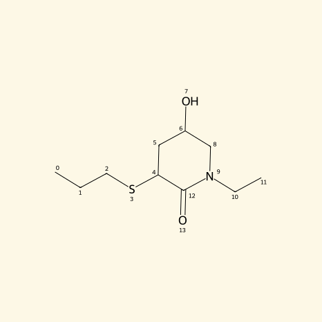 CCCSC1CC(O)CN(CC)C1=O